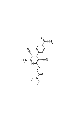 CCN(CC)C(=O)CSc1nc(N)c(C#N)c(-c2ccc(C(N)=O)cc2)c1C#N